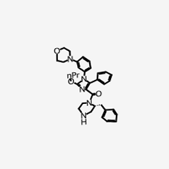 CCCOc1nc(C(=O)N2CCNC[C@H]2Cc2ccccc2)c(-c2ccccc2)n1-c1cccc(N2CCOCC2)c1